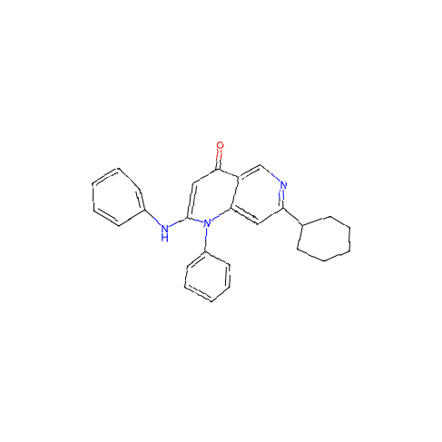 O=c1cc(Nc2ccccc2)n(-c2ccccc2)c2cc(C3CCCCC3)ncc12